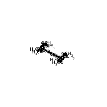 CON(C)C(=O)c1ccc(C(=O)N(C)OC)c(OCCOCCOCCOCCOc2cc(C(=O)N(C)OC)ccc2C(=O)N(C)OC)c1